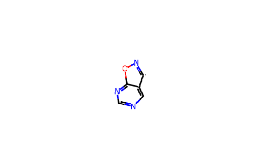 [c]1noc2ncncc12